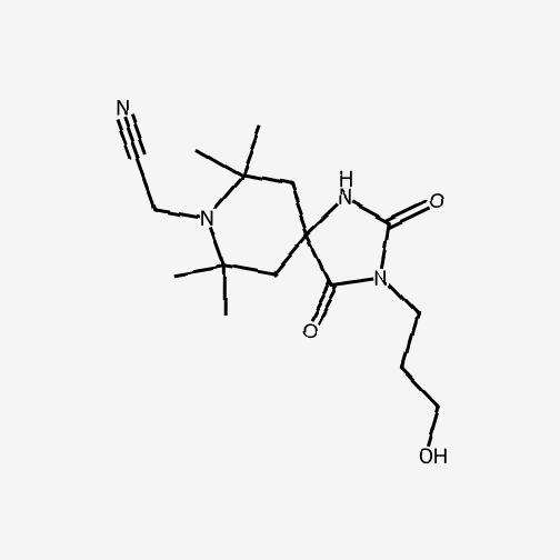 CC1(C)CC2(CC(C)(C)N1CC#N)NC(=O)N(CCCO)C2=O